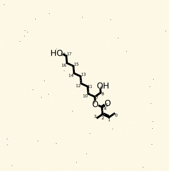 CC=C(C)C(=O)OC(CO)CCCCCCCCO